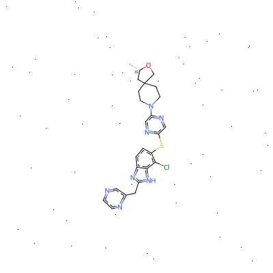 C[C@H]1CC2(CCN(c3cnc(Sc4ccc5nc(Cc6cnccn6)[nH]c5c4Cl)cn3)CC2)CO1